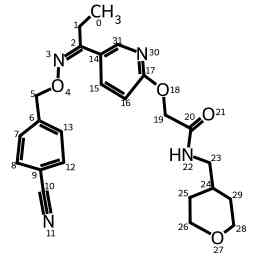 CCC(=NOCc1ccc(C#N)cc1)c1ccc(OCC(=O)NCC2CCOCC2)nc1